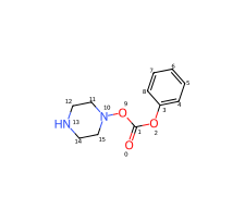 O=C(Oc1ccccc1)ON1CCNCC1